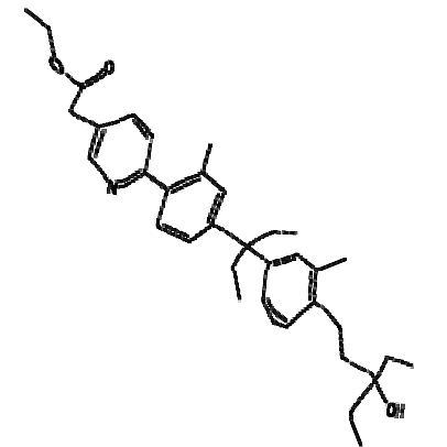 CCOC(=O)Cc1ccc(-c2ccc(C(CC)(CC)c3ccc(CCC(O)(CC)CC)c(C)c3)cc2C)nc1